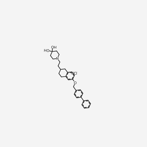 Cl.OC1(O)CCN(CCC2CCc3cc(OCc4ccc(-c5ccccc5)cc4)ccc3C2)CC1